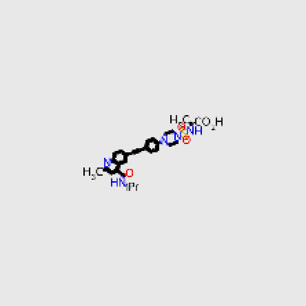 Cc1cc(C(=O)NC(C)C)c2cc(C#Cc3ccc(N4CCN(S(=O)(=O)N[C@H](C)C(=O)O)CC4)cc3)ccc2n1